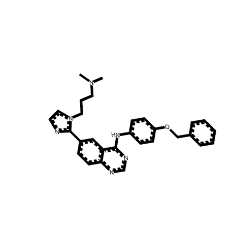 CN(C)CCCn1ccnc1-c1ccc2ncnc(Nc3ccc(OCc4ccccc4)cc3)c2c1